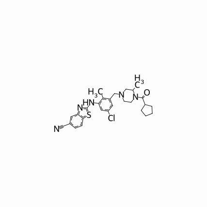 Cc1c(CN2CCN(C(=O)C3CCCC3)C(C)C2)cc(Cl)cc1Nc1nc2cc(C#N)ccc2s1